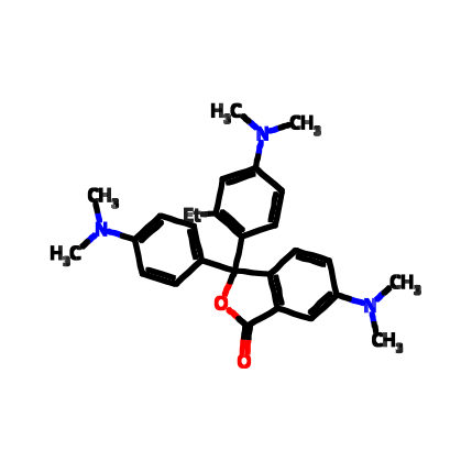 CCc1cc(N(C)C)ccc1C1(c2ccc(N(C)C)cc2)OC(=O)c2cc(N(C)C)ccc21